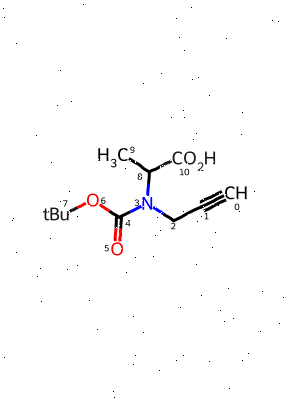 C#CCN(C(=O)OC(C)(C)C)C(C)C(=O)O